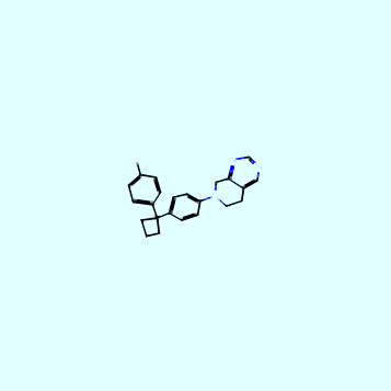 Cc1ccc(C2(c3ccc(N4CCc5cncnc5C4)cc3)CCC2)cc1